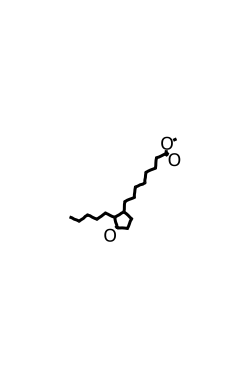 CCCCCC1C(=O)CCC1CCCCCCCC(=O)OC